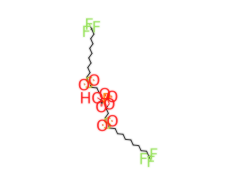 O=C(O)P(=O)(OCCCS(=O)(=O)CCCCCCCCCCC(F)(F)F)OCCCS(=O)(=O)CCCCCCCCCCC(F)(F)F